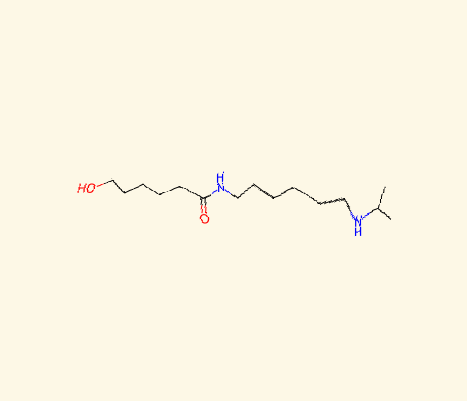 CC(C)NCCCCCCNC(=O)CCCCCO